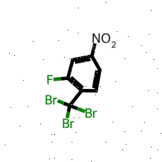 O=[N+]([O-])c1ccc(C(Br)(Br)Br)c(F)c1